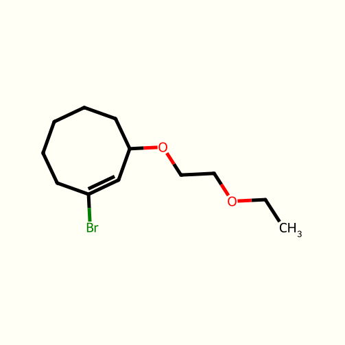 CCOCCOC1/C=C(/Br)CCCCC1